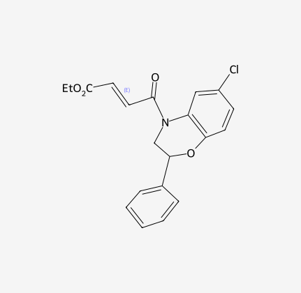 CCOC(=O)/C=C/C(=O)N1CC(c2ccccc2)Oc2ccc(Cl)cc21